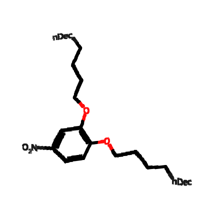 CCCCCCCCCCCCCCOc1ccc([N+](=O)[O-])cc1OCCCCCCCCCCCCCC